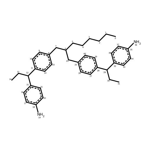 CCCCCCC(Cc1ccc(C(CC)c2ccc(N)cc2)cc1)Cc1ccc(C(CC)c2ccc(N)cc2)cc1